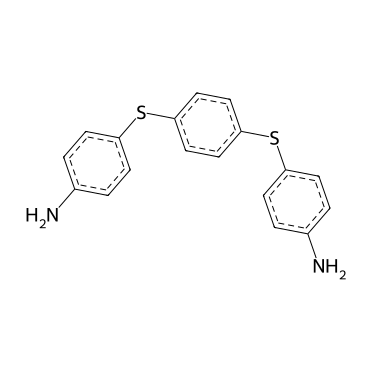 Nc1ccc(Sc2ccc(Sc3ccc(N)cc3)cc2)cc1